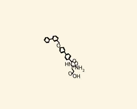 NC(=O)[C@H](CCC(=O)O)NC(=O)c1ccc(-c2ccc(OCc3cccc(-c4ccccc4)c3)cc2)cc1